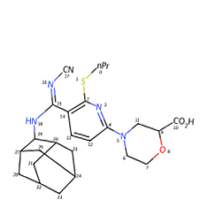 CCCSc1nc(N2CCOC(C(=O)O)C2)ccc1/C(=N\C#N)NC1C2CC3CC(C2)CC1C3